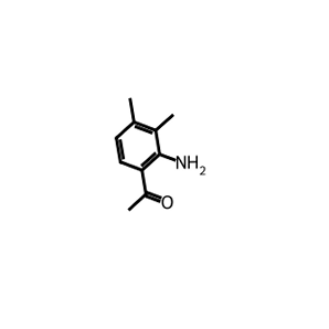 CC(=O)c1ccc(C)c(C)c1N